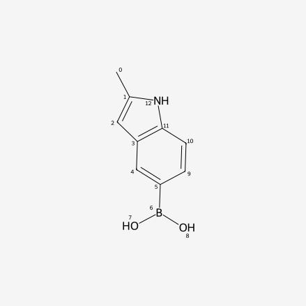 Cc1cc2cc(B(O)O)ccc2[nH]1